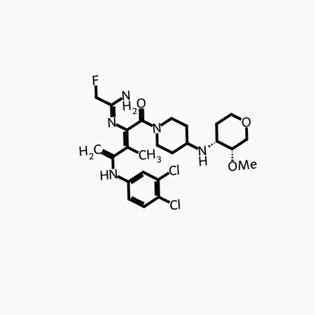 C=C(Nc1ccc(Cl)c(Cl)c1)/C(C)=C(\N=C(/N)CF)C(=O)N1CCC(N[C@@H]2CCOC[C@@H]2OC)CC1